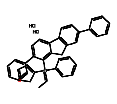 C[CH]=[Ti]([C]1=CC=CC1)([c]1ccccc1)[c]1c(-c2ccccc2)ccc2c1Cc1cc(-c3ccccc3)ccc1-2.Cl.Cl